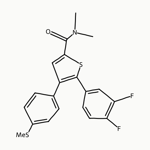 CSc1ccc(-c2cc(C(=O)N(C)C)sc2-c2ccc(F)c(F)c2)cc1